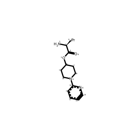 CC(C)[C@H](N)C(=O)OC1CCN(c2ccc#cn2)CC1